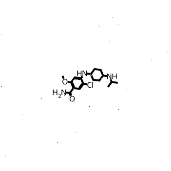 COc1cc(NC2CCC(NC(C)C)CC2)c(Cl)cc1C(N)=O